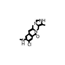 CNc1cc2cc(C)n(Cc3nc[nH]c3C)c(=O)c2cc1Cl